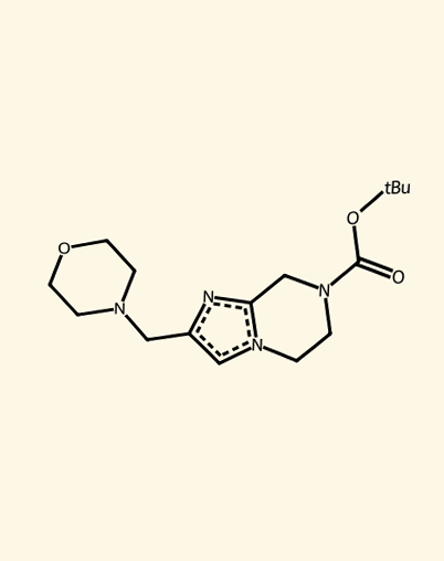 CC(C)(C)OC(=O)N1CCn2cc(CN3CCOCC3)nc2C1